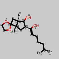 CCC(CC)CCCC=C(O)[C@H]1C[C@H]2[C@@H](CC23OCCO3)C1O